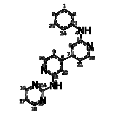 c1ccc(Nc2cc(-c3ccnc(Nc4ncccn4)c3)ccn2)cc1